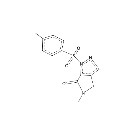 Cc1ccc(S(=O)(=O)n2ncc3c2C(=O)N(C)C3)cc1